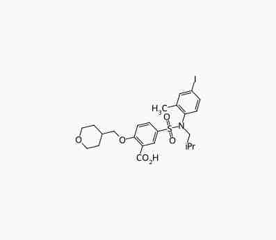 Cc1cc(I)ccc1N(CC(C)C)S(=O)(=O)c1ccc(OCC2CCOCC2)c(C(=O)O)c1